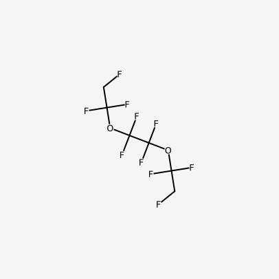 FCC(F)(F)OC(F)(F)C(F)(F)OC(F)(F)CF